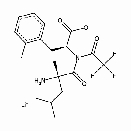 Cc1ccccc1C[C@@H](C(=O)[O-])N(C(=O)C(F)(F)F)C(=O)[C@@](C)(N)CC(C)C.[Li+]